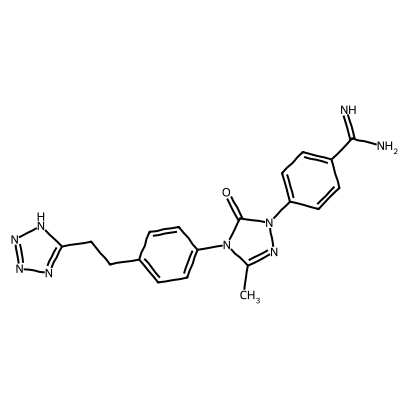 Cc1nn(-c2ccc(C(=N)N)cc2)c(=O)n1-c1ccc(CCc2nnn[nH]2)cc1